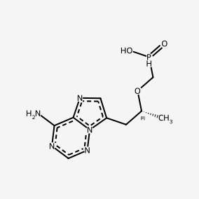 C[C@H](Cc1cnc2c(N)ncnn12)OC[PH](=O)O